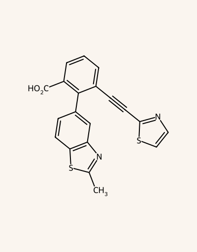 Cc1nc2cc(-c3c(C#Cc4nccs4)cccc3C(=O)O)ccc2s1